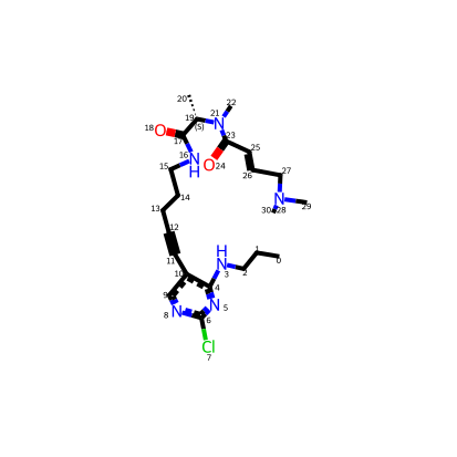 CCCNc1nc(Cl)ncc1C#CCCCNC(=O)[C@H](C)N(C)C(=O)C=CCN(C)C